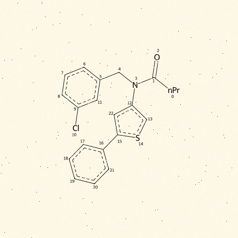 CCCC(=O)N(Cc1cccc(Cl)c1)c1csc(-c2ccccc2)c1